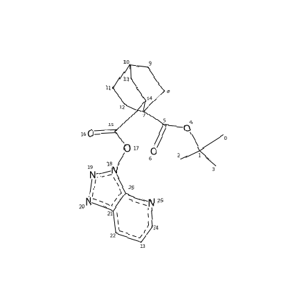 CC(C)(C)OC(=O)C12CCC(CC1)CC2C(=O)On1nnc2cccnc21